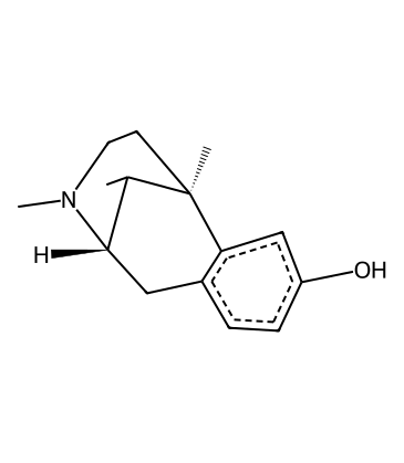 CC1[C@@H]2Cc3ccc(O)cc3[C@]1(C)CCN2C